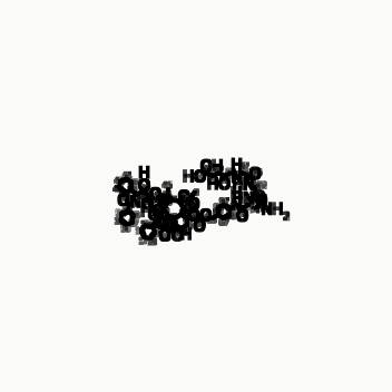 CC(=O)O[C@H]1C(=O)[C@@]2(C)C([C@H](OC(=O)c3ccccc3)[C@]3(O)C[C@H](OC(=O)[C@H](O)[C@@H](NC(=O)c4ccccc4)c4ccccc4)C(C)=C1C3(C)C)[C@]1(OC(C)=O)CO[C@@H]1C[C@@H]2OC(=O)OCc1ccc(NC(=O)[C@@H](CC(N)=O)NC(=O)[C@@H](C)NC(=O)[C@@H](C)NC[C@@H](O)CCC(O)O)cc1